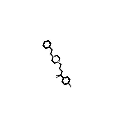 O=C(CCCN1CCN(CCc2ccccc2)CC1)c1ccc(F)cc1